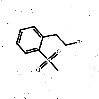 CS(=O)(=O)c1ccccc1CCBr